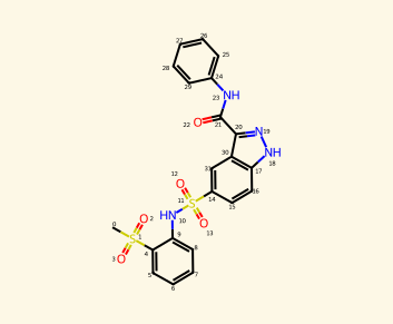 CS(=O)(=O)c1ccccc1NS(=O)(=O)c1ccc2[nH]nc(C(=O)Nc3ccccc3)c2c1